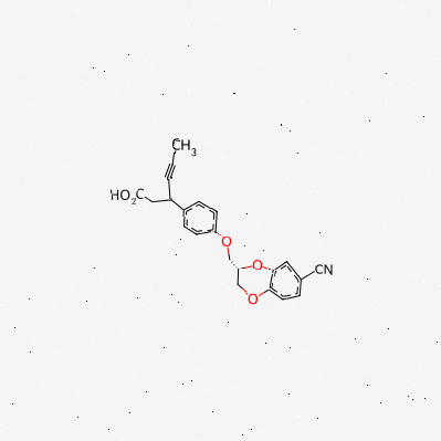 CC#CC(CC(=O)O)c1ccc(OC[C@H]2COc3ccc(C#N)cc3O2)cc1